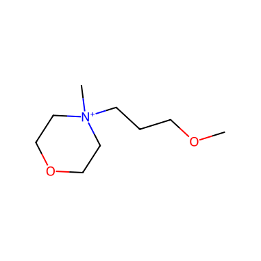 COCCC[N+]1(C)CCOCC1